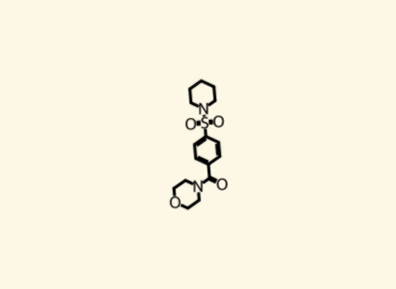 O=C(c1ccc(S(=O)(=O)N2CCCCC2)cc1)N1CCOCC1